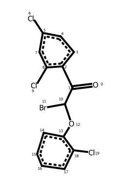 O=C(c1ccc(Cl)cc1Cl)C(Br)Oc1ccccc1Cl